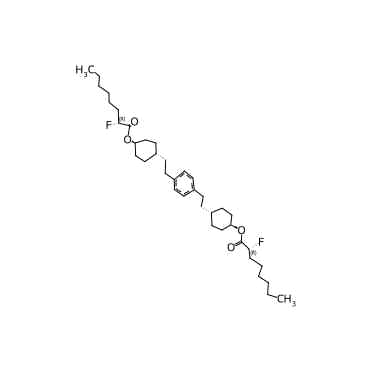 CCCCCC[C@@H](F)C(=O)O[C@H]1CC[C@H](CCc2ccc(CC[C@H]3CC[C@H](OC(=O)[C@H](F)CCCCCC)CC3)cc2)CC1